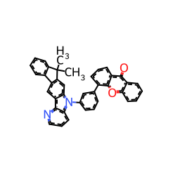 CC1(C)c2ccccc2-c2cc3c4ncccc4n(-c4cccc(-c5cccc6c(=O)c7ccccc7oc56)c4)c3cc21